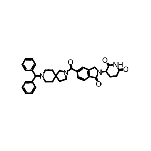 O=C1CCC(N2Cc3cc(C(=O)N4CCC5(CCN(C(c6ccccc6)c6ccccc6)CC5)C4)ccc3C2=O)C(=O)N1